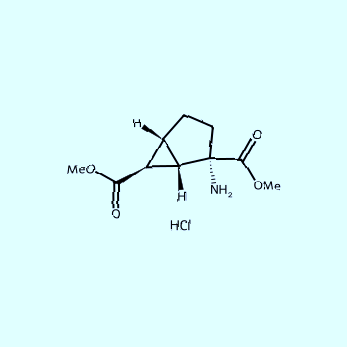 COC(=O)[C@H]1[C@@H]2CC[C@@](N)(C(=O)OC)[C@@H]21.Cl